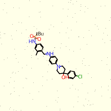 Cc1cc(NS(=O)(=O)C(C)(C)C)ccc1CNc1ccc(N2CCC(O)(c3ccc(Cl)cc3)CC2)cc1